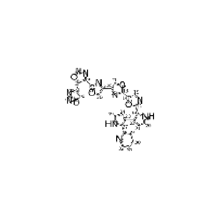 C1=C(c2onnc2-c2nc(-c3coc(-c4cnc(-c5[nH]ccc5-c5cc[nH]c5-c5ccccn5)o4)n3)co2)N=[N+]O1